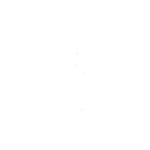 COc1ccc(CNc2nc(CSCC(=O)O)nc3sc4c(c23)CCCC4)cc1Cl